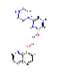 c1cnc2c(OCCOc3cncc(N4CCNCC4)n3)cccc2c1